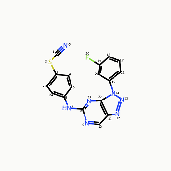 N#CSc1ccc(Nc2ncc3nnn(-c4cccc(F)c4)c3n2)cc1